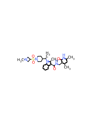 Cc1cc(C)c(CNC(=O)c2c(C)n([C@H](C)C3CCN(S(=O)(=O)C4CN(C)C4)CC3)c3ccccc23)c(=O)[nH]1